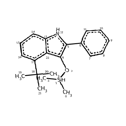 C[SiH](C)Oc1c(-c2ccccc2)[nH]c2cccc(C(C)(C)C)c12